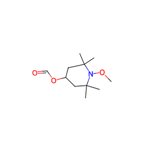 CON1C(C)(C)CC(OC=O)CC1(C)C